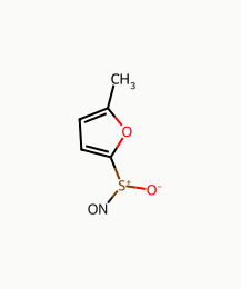 Cc1ccc([S+]([O-])N=O)o1